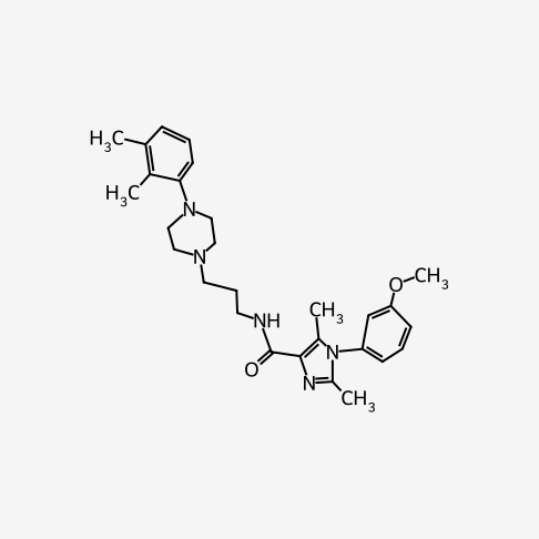 COc1cccc(-n2c(C)nc(C(=O)NCCCN3CCN(c4cccc(C)c4C)CC3)c2C)c1